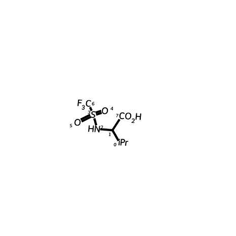 CC(C)C(NS(=O)(=O)C(F)(F)F)C(=O)O